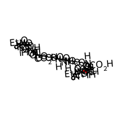 CCc1c2c(nc3ccccc13)-c1cc3c(c(=O)n1C2)COC(=O)[C@@]3(CC)OC(=O)[C@@H](NC(=O)[C@@H]1CCCN1C(=O)[C@H](CC(=O)O)NC(=O)CCOCCOCCOCCNC(=O)CC[C@H](N)C(=O)NCCOCCOCCOCCC(=O)N[C@@H](CC(=O)O)C(=O)N1CCC[C@H]1C(=O)N[C@H](C(=O)O[C@]1(CC)C(=O)OCc2c1cc1n(c2=O)Cc2c-1nc1ccccc1c2CC)C(C)C)C(C)C